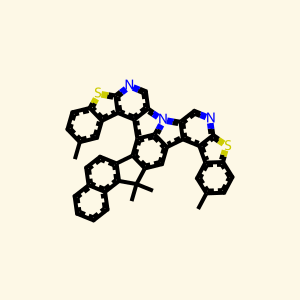 Cc1ccc2sc3ncc4c(c5cc6c(c7c8c9c(ncc8n4c57)sc4ccc(C)cc49)-c4ccc5ccccc5c4C6(C)C)c3c2c1